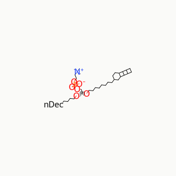 CCCCCCCCCCCCCCOC[C@H](COP(=O)([O-])OCC[N+](C)(C)C)OCCCCCCCCC1CCC2C(C1)C1C3CCC3C21